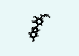 Cc1cnc2nc(-c3ccc(CP)c(C)c3C)cn2c1